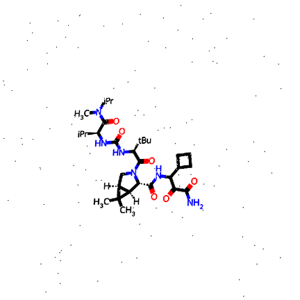 CC(C)[C@H](NC(=O)N[C@H](C(=O)N1C[C@H]2[C@@H]([C@H]1C(=O)NC(C(=O)C(N)=O)C1CCC1)C2(C)C)C(C)(C)C)C(=O)N(C)C(C)C